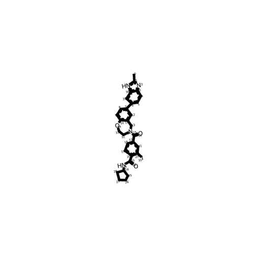 Cc1nc2ccc(-c3ccc4c(c3)CN(C(=O)c3ccc(C(=O)NC5CCCC5)c(I)c3)CCO4)cc2[nH]1